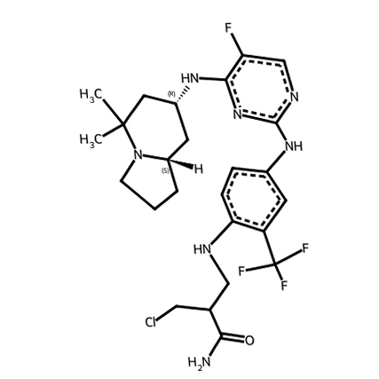 CC1(C)C[C@H](Nc2nc(Nc3ccc(NCC(CCl)C(N)=O)c(C(F)(F)F)c3)ncc2F)C[C@@H]2CCCN21